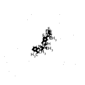 CC(C)c1ccccc1-c1ncc2c(n1)n(Cc1ccc(-c3nc(C(F)(F)F)cn3C)c(F)c1)c(=N)n2C